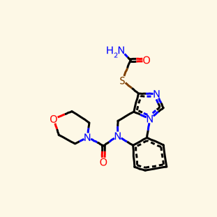 NC(=O)Sc1ncn2c1CN(C(=O)N1CCOCC1)c1ccccc1-2